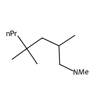 CCCC(C)(C)CC(C)CNC